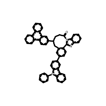 O=C1CCC(c2ccc3c4ccccc4c4ccccc4c3c2)Cc2cc(-c3ccc4c(c3)c3ccccc3n4-c3ccccc3)ccc2-c2nc3ccccc3n21